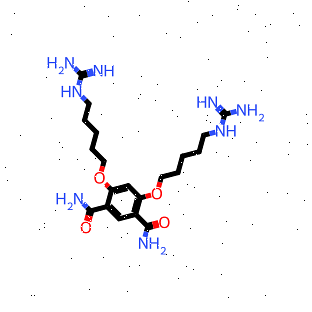 N=C(N)NCCCCCOc1cc(OCCCCCNC(=N)N)c(C(N)=O)cc1C(N)=O